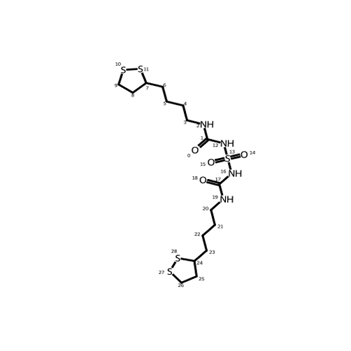 O=C(NCCCCC1CCSS1)NS(=O)(=O)NC(=O)NCCCCC1CCSS1